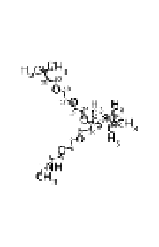 CCNCCOCCOCCC(C)(OCCOCCOCCC(C)C)SSC(C)(C)C